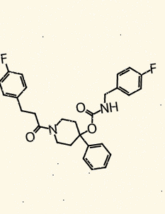 O=C(NCc1ccc(F)cc1)OC1(c2ccccc2)CCN(C(=O)CCc2ccc(F)cc2)CC1